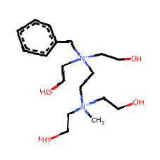 C[N+](CCO)(CCO)CC[N+](CCO)(CCO)Cc1ccccc1